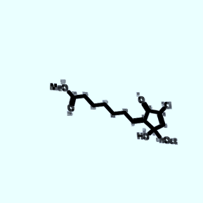 CCCCCCCCC1(O)C=C(Cl)C(=O)/C1=C\CCCCCC(=O)OC